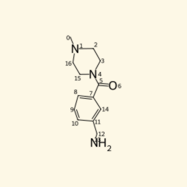 CN1CCN(C(=O)c2cccc(CN)c2)CC1